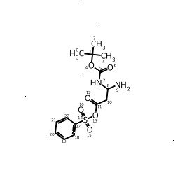 CC(C)(C)OC(=O)NC(N)CC(=O)OS(=O)(=O)c1ccccc1